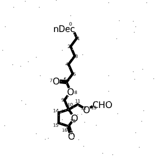 CCCCCCCCCCCCCCCC(=O)OCC1(COC=O)CCC(=O)O1